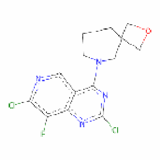 Fc1c(Cl)ncc2c(N3CCCC4(COC4)C3)nc(Cl)nc12